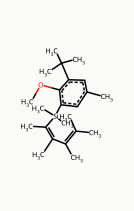 COc1c(C(C)(C)C)cc(C)cc1[Si](C)(C)C(C)=C(C)C(C)=C(C)C